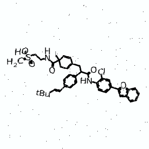 C=S(=O)(O)CCNC(=O)C1(I)C=CC(CC(C(=O)Nc2ccc(-c3cc4ccccc4o3)cc2Cl)c2ccc(/C=C/C(C)(C)C)cc2)=CC1